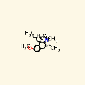 CCCC[C@]1(C)c2cc(OC)ccc2C[C@H](CC)[C@@H]1N(C)C